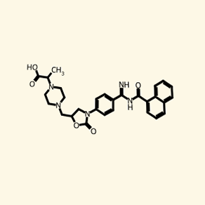 CC(C(=O)O)N1CCN(CC2CN(c3ccc(C(=N)NC(=O)c4cccc5ccccc45)cc3)C(=O)O2)CC1